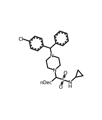 CCCCCCCCCCC(N1CCN(C(c2ccccc2)c2ccc(Cl)cc2)CC1)S(=O)(=O)NC1CC1